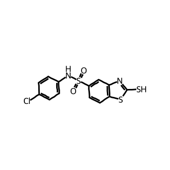 O=S(=O)(Nc1ccc(Cl)cc1)c1ccc2sc(S)nc2c1